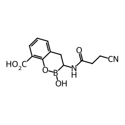 N#CCCC(=O)NC1Cc2cccc(C(=O)O)c2OB1O